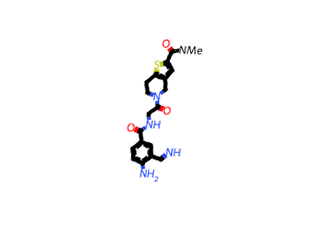 CNC(=O)c1cc2c(s1)CCN(C(=O)CNC(=O)c1ccc(N)c(C=N)c1)C2